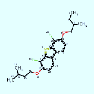 CCC(C)COc1ccc2c(sc3c(F)c(OCCC(C)C)ccc32)c1F